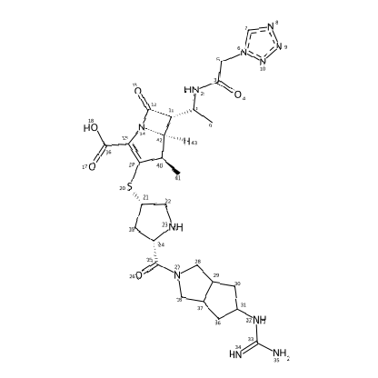 CC(NC(=O)Cn1cnnn1)[C@H]1C(=O)N2C(C(=O)O)=C(S[C@@H]3CN[C@H](C(=O)N4CC5CC(NC(=N)N)CC5C4)C3)[C@H](C)[C@H]12